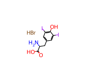 Br.N[C@@H](Cc1cc(I)c(O)c(I)c1)C(=O)O